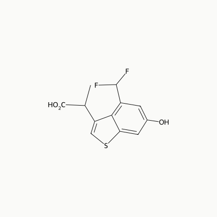 CC(C(=O)O)c1csc2cc(O)cc(C(F)F)c12